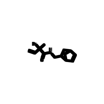 C=CC(C)(Br)C(=O)NCC1CC2C=CC1C2